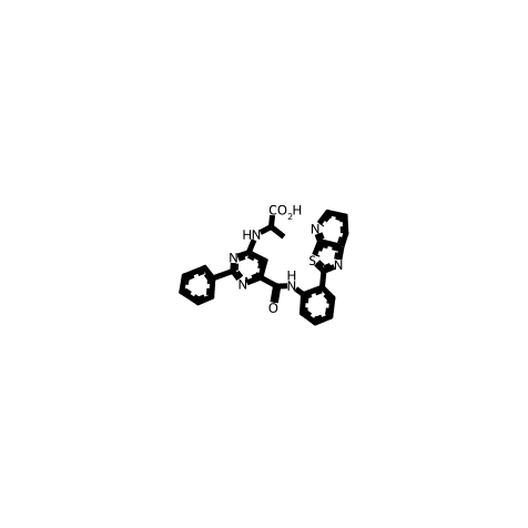 CC(Nc1cc(C(=O)Nc2ccccc2-c2nc3cccnc3s2)nc(-c2ccccc2)n1)C(=O)O